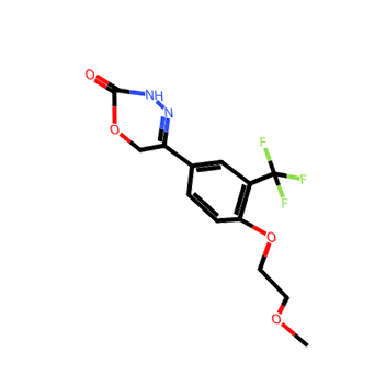 COCCOc1ccc(C2=NNC(=O)OC2)cc1C(F)(F)F